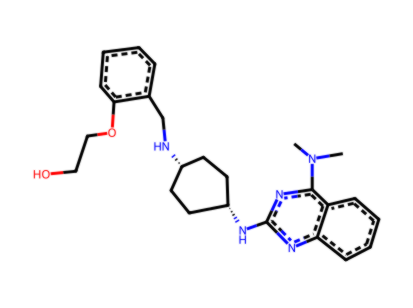 CN(C)c1nc(N[C@H]2CC[C@@H](NCc3ccccc3OCCO)CC2)nc2ccccc12